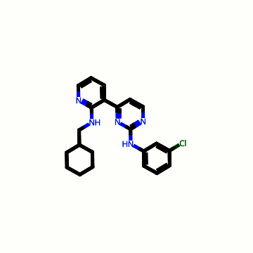 Clc1cccc(Nc2nccc(-c3cccnc3NCC3CCCCC3)n2)c1